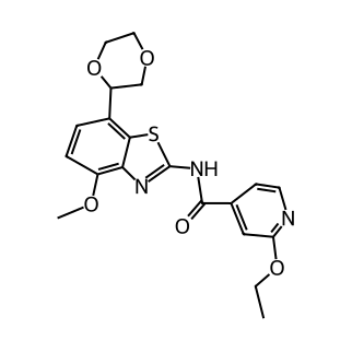 CCOc1cc(C(=O)Nc2nc3c(OC)ccc(C4COCCO4)c3s2)ccn1